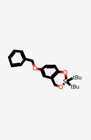 CC(C)(C)[Si]1(C(C)(C)C)OCc2cc(OCc3ccccc3)ccc2O1